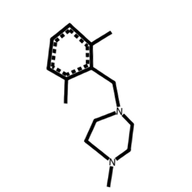 Cc1cccc(C)c1CN1CCN(C)CC1